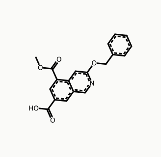 COC(=O)c1cc(C(=O)O)cc2cnc(OCc3ccccc3)cc12